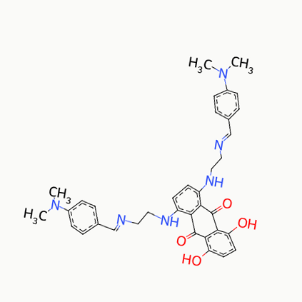 CN(C)c1ccc(/C=N/CCNc2ccc(NCC/N=C/c3ccc(N(C)C)cc3)c3c2C(=O)c2c(O)ccc(O)c2C3=O)cc1